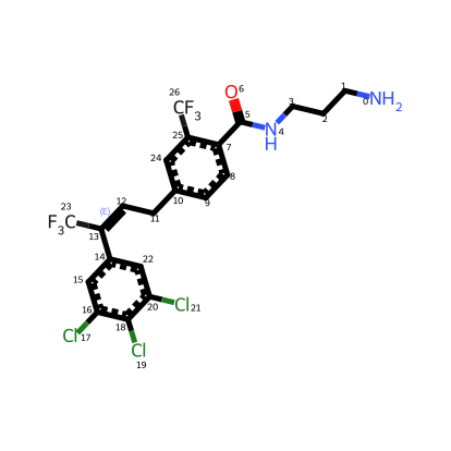 NCCCNC(=O)c1ccc(C/C=C(\c2cc(Cl)c(Cl)c(Cl)c2)C(F)(F)F)cc1C(F)(F)F